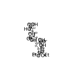 CCO[Si](CCCC(CCC(CCC[N+]([O-])(O)O)[N+]([O-])(O)O)[N+]([O-])(O)O)(OCC)OCC